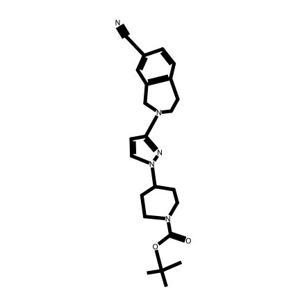 CC(C)(C)OC(=O)N1CCC(n2ccc(N3CCc4ccc(C#N)cc4C3)n2)CC1